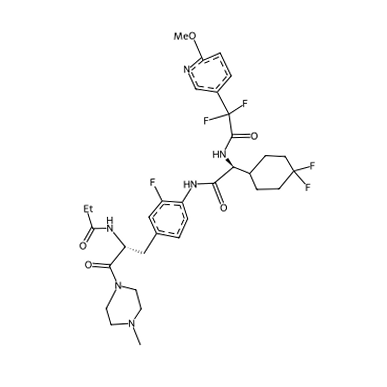 CCC(=O)N[C@H](Cc1ccc(NC(=O)[C@@H](NC(=O)C(F)(F)c2ccc(OC)nc2)C2CCC(F)(F)CC2)c(F)c1)C(=O)N1CCN(C)CC1